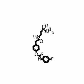 CN(C)CCNC(=O)Cc1ccc(Oc2nc3ccc(F)cc3s2)cc1